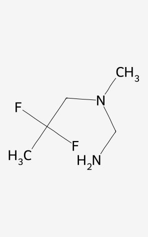 CN(CN)CC(C)(F)F